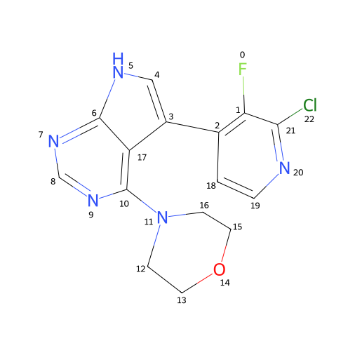 Fc1c(-c2c[nH]c3ncnc(N4CCOCC4)c23)ccnc1Cl